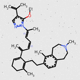 C=C(/C=C\C=C(/C)n1ncc(C(=C)C)c1OCC)C1=CCCC(C)=C1CCc1ccc2c(c1C)CCN(C)CC2